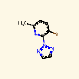 Cc1ccc(Br)c(-n2nccn2)n1